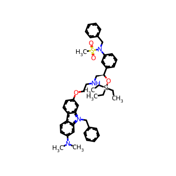 CC[Si](CC)(CC)O[C@@H](CNCCOc1ccc2c3ccc(N(C)C)cc3n(Cc3ccccc3)c2c1)c1cccc(N(Cc2ccccc2)S(C)(=O)=O)c1